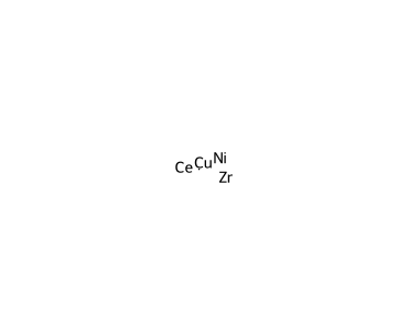 [Ce].[Cu].[Ni].[Zr]